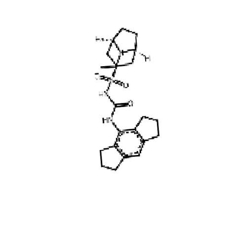 CCN1[C@@H]2CC[C@H]1C[C@@H](S(=O)(=O)NC(=O)Nc1c3c(cc4c1CCC4)CCC3)C2